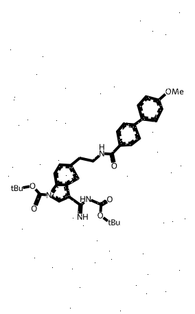 COc1ccc(-c2ccc(C(=O)NCCc3ccc4c(c3)c(C(=N)NC(=O)OC(C)(C)C)cn4C(=O)OC(C)(C)C)cc2)cc1